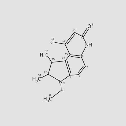 CCN1c2ccc3[nH]c(=O)cc(Cl)c3c2C(C)C1C